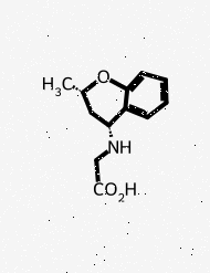 C[C@H]1C[C@@H](NCC(=O)O)c2ccccc2O1